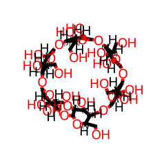 OC[C@H]1OC2O[C@H]3[C@H](O)[C@@H](O)C(O[C@H]4[C@H](O)[C@@H](O)C(O[C@H]5[C@H](O)[C@@H](O)C(O[C@H]6[C@H](O)[C@@H](O)C(O[C@H]7[C@H](O)[C@@H](O)C(OC1[C@H](O)[C@H]2O)O[C@@H]7CO)O[C@@H]6CO)O[C@@H]5CO)O[C@@H]4CO)O[C@@H]3CO